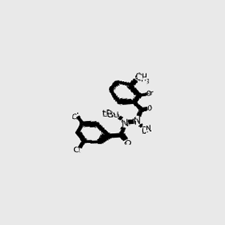 Cc1cccc(C(=O)N(C#N)N(C(=O)c2cc(Cl)cc(Cl)c2)C(C)(C)C)c1Br